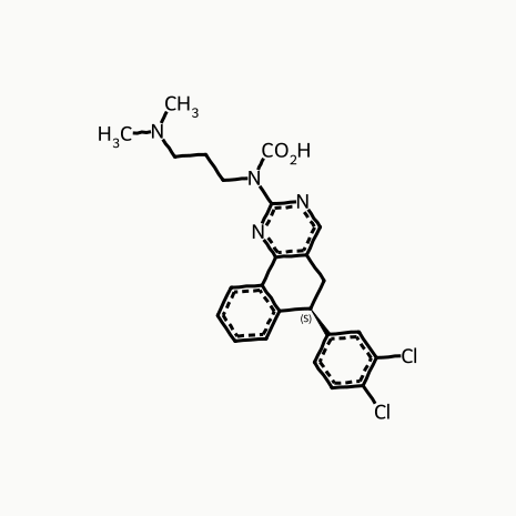 CN(C)CCCN(C(=O)O)c1ncc2c(n1)-c1ccccc1[C@H](c1ccc(Cl)c(Cl)c1)C2